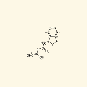 O=CN(O)CC(=O)NC1CCc2ccccc21